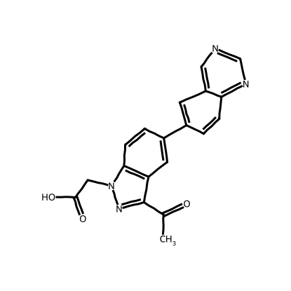 CC(=O)c1nn(CC(=O)O)c2ccc(-c3ccc4ncncc4c3)cc12